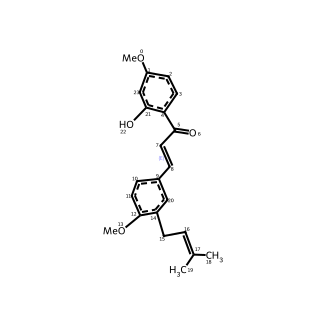 COc1ccc(C(=O)/C=C/c2ccc(OC)c(CC=C(C)C)c2)c(O)c1